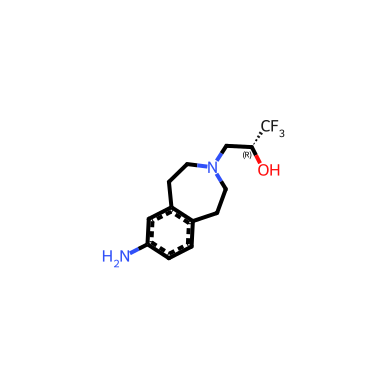 Nc1ccc2c(c1)CCN(C[C@@H](O)C(F)(F)F)CC2